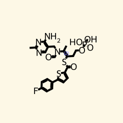 C/C(=C(\CCOP(=O)(O)O)SC(=O)c1ccc(-c2ccc(F)cc2)s1)N(C=O)Cc1cnc(C)nc1N